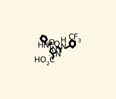 C[C@]1(CC(=O)O)C[C@@H](C(=O)Nc2ccccc2)n2c1ncc(NCc1cccc(C(F)(F)F)c1)c2=O